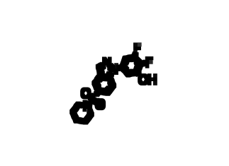 O=S(=O)(c1ccc2c(cnn2-c2cc(O)c(F)c(F)c2)c1)N1CCCCC1